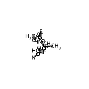 CCCCOc1ccc(C(Nc2ccc(C#N)cc2)C(=O)O)cc1[C@H](C)CC(=O)Nc1ccc(OC(F)F)c(CN(C)C=O)c1